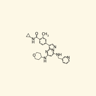 Cc1cc(-c2cnn3c(NCc4cccnc4)cc(NC4CCOCC4)nc23)ccc1C(=O)NC1CC1